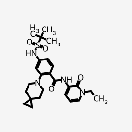 CCn1cccc(NC(=O)c2ccc(NS(=O)(=O)C(C)(C)C)cc2N2CCC3(CC2)CC3)c1=O